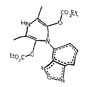 CCOC(=O)OC1=C(C)NC(C)=C(OC(=O)OCC)N1c1cccc2nonc12